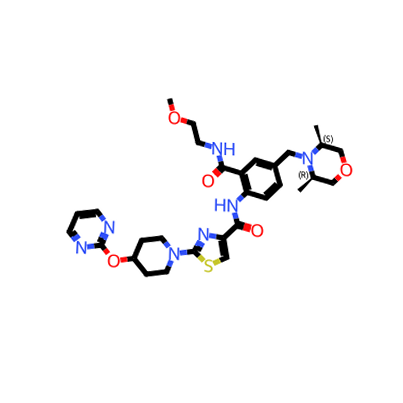 COCCNC(=O)c1cc(CN2[C@H](C)COC[C@@H]2C)ccc1NC(=O)c1csc(N2CCC(Oc3ncccn3)CC2)n1